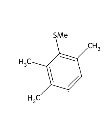 CSc1c(C)c[c]c(C)c1C